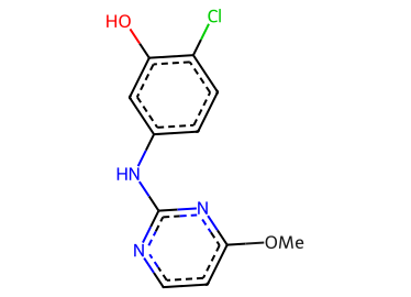 COc1ccnc(Nc2ccc(Cl)c(O)c2)n1